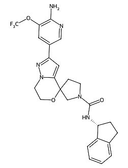 Nc1ncc(-c2cc3n(n2)CCOC32CCN(C(=O)N[C@@H]3CCc4ccccc43)C2)cc1OC(F)(F)F